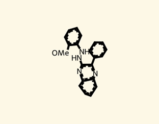 COc1ccccc1NNc1nc2ccccc2nc1-c1ccccc1